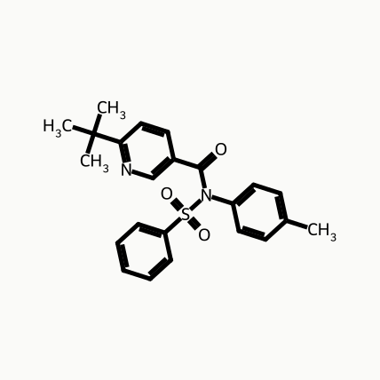 Cc1ccc(N(C(=O)c2ccc(C(C)(C)C)nc2)S(=O)(=O)c2ccccc2)cc1